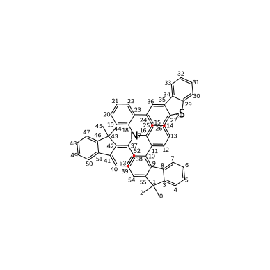 CC1(C)c2ccccc2-c2c(-c3ccccc3N(c3ccccc3-c3ccc4sc5ccccc5c4c3)c3cccc4c3C(C)(C)c3ccccc3-4)cccc21